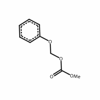 COC(=O)OCOc1ccccc1